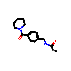 CC(C)(C)C(=O)NCc1ccc(C(=O)N2CCCCC2)cc1